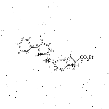 CCOC(=O)c1cc2cc(Nc3nccc(-c4ccccc4)n3)ccc2[nH]1